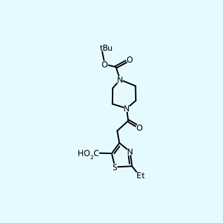 CCc1nc(CC(=O)N2CCN(C(=O)OC(C)(C)C)CC2)c(C(=O)O)s1